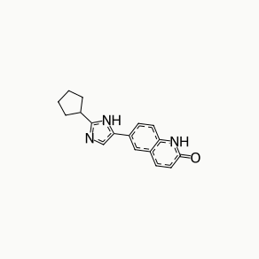 O=c1ccc2cc(-c3cnc(C4CCCC4)[nH]3)ccc2[nH]1